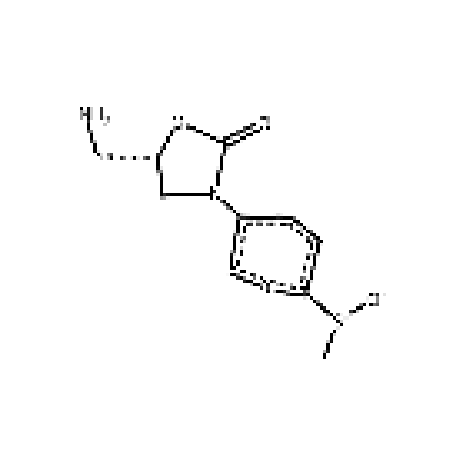 C[S+]([O-])c1ccc(N2C[C@H](CN)OC2=O)cc1